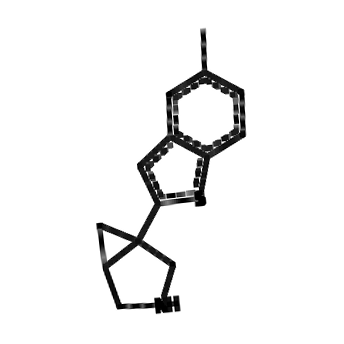 Cc1ccc2sc(C34CNCC3C4)cc2c1